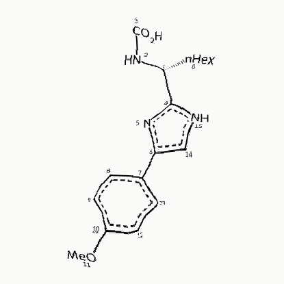 CCCCCC[C@@H](NC(=O)O)c1nc(-c2ccc(OC)cc2)c[nH]1